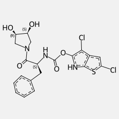 O=C(N[C@@H](Cc1ccccc1)C(=O)N1C[C@@H](O)[C@@H](O)C1)Oc1[nH]c2sc(Cl)cc2c1Cl